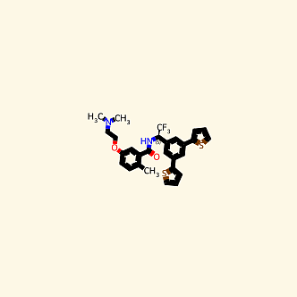 Cc1ccc(OCCN(C)C)cc1C(=O)N[C@@H](c1cc(-c2cccs2)cc(-c2cccs2)c1)C(F)(F)F